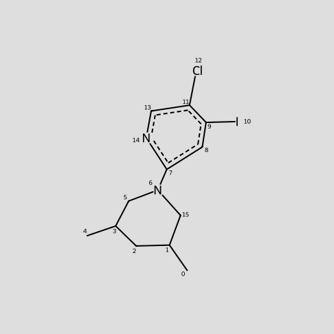 CC1CC(C)CN(c2cc(I)c(Cl)cn2)C1